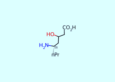 CCC[C@H](N)CC(O)CC(=O)O